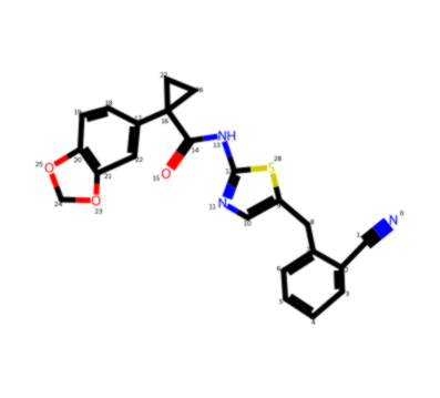 N#Cc1ccccc1Cc1cnc(NC(=O)C2(c3ccc4c(c3)OCO4)CC2)s1